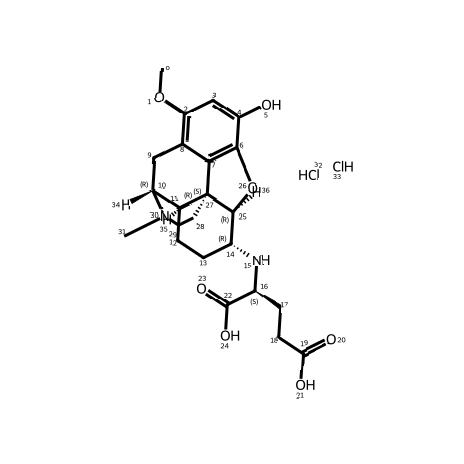 COc1cc(O)c2c3c1C[C@@H]1[C@@H]4CC[C@@H](N[C@@H](CCC(=O)O)C(=O)O)[C@H](O2)[C@]34CCN1C.Cl.Cl